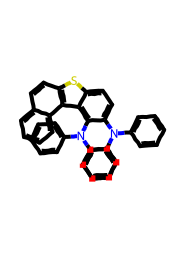 c1ccc(N(c2ccccc2)c2ccc3sc4ccc5ccccc5c4c3c2N(c2ccccc2)c2ccccc2)cc1